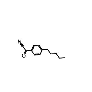 CCCCCc1ccc(C(=O)C#N)cc1